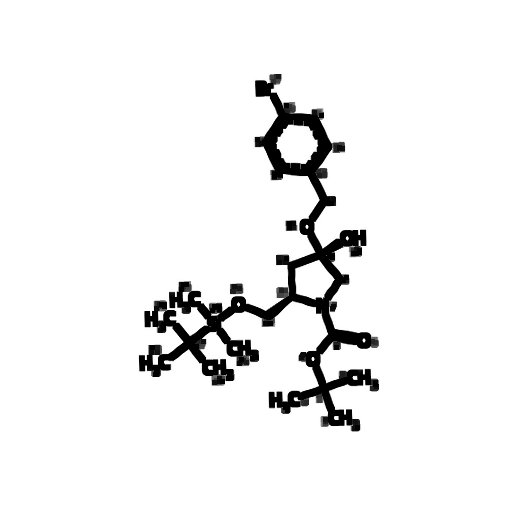 CC(C)(C)OC(=O)N1C[C@@](O)(OCc2ccc(Br)cc2)C[C@@H]1CO[Si](C)(C)C(C)(C)C